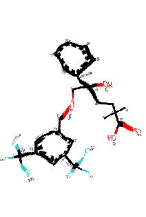 CC(C)(CCC(O)(COCc1cc(C(F)(F)F)cc(C(F)(F)F)c1)c1ccccc1)C(=O)O